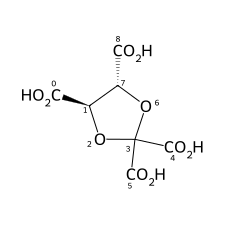 O=C(O)[C@@H]1OC(C(=O)O)(C(=O)O)O[C@H]1C(=O)O